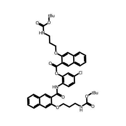 CC(C)(C)OC(=O)NCCCOc1cc2ccccc2cc1C(=O)Nc1ccc(Cl)cc1OC(=O)c1cc2ccccc2cc1OCCCNC(=O)OC(C)(C)C